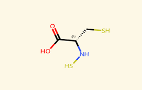 O=C(O)[C@H](CS)NS